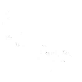 Cc1cc(NC(=O)Nc2ccc(Cl)cc2)ccc1S(=O)(=O)Nc1ccccc1S(N)(=O)=O